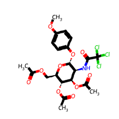 COc1ccc(O[C@H]2O[C@H](COC(C)=O)[C@@H](OC(C)=O)[C@H](OC(C)=O)[C@@H]2NC(=O)C(Cl)(Cl)Cl)cc1